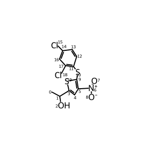 CC(O)c1cc([N+](=O)[O-])c(Sc2ccc(Cl)cc2Cl)s1